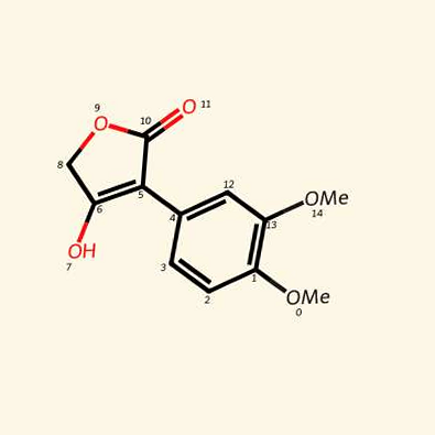 COc1ccc(C2=C(O)COC2=O)cc1OC